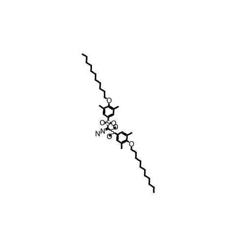 CCCCCCCCCCCOc1c(C)cc(S(=O)(=O)C(=[N+]=[N-])S(=O)(=O)c2cc(C)c(OCCCCCCCCCCC)c(C)c2)cc1C